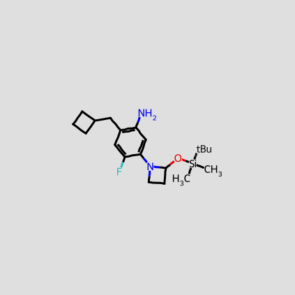 CC(C)(C)[Si](C)(C)OC1CCN1c1cc(N)c(CC2CCC2)cc1F